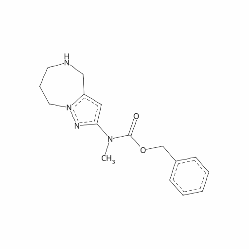 CN(C(=O)OCc1ccccc1)c1cc2n(n1)CCCNC2